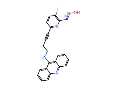 O/N=C/c1nc(C#CCCNc2c3ccccc3nc3ccccc23)ccc1F